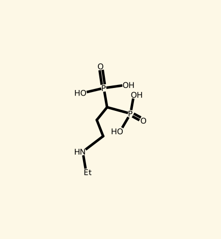 CCNCCC(P(=O)(O)O)P(=O)(O)O